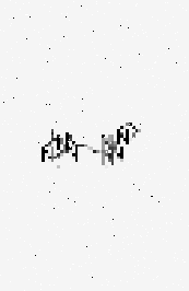 Cc1ncc(C)n2nc(CCc3nc(N4CCC(C)C4)nn3C)nc12